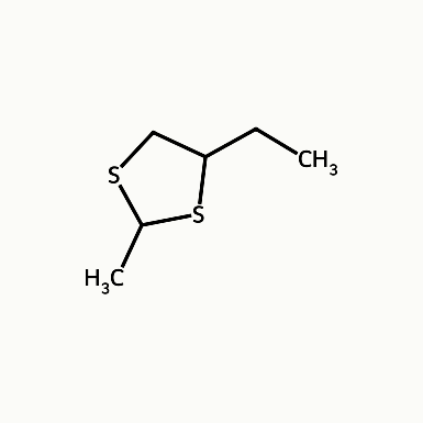 CCC1CSC(C)S1